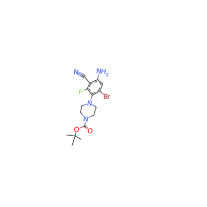 CC(C)(C)OC(=O)N1CCN(c2c(Br)cc(N)c(C#N)c2F)CC1